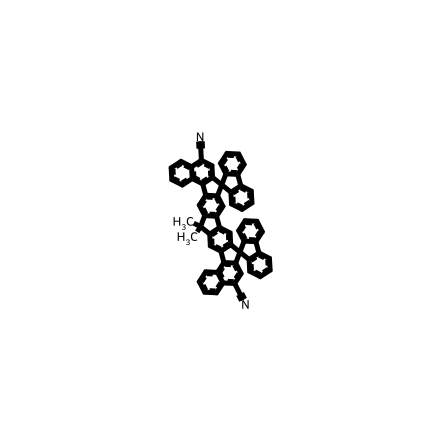 CC1(C)c2cc3c(cc2-c2cc4c(cc21)-c1c(cc(C#N)c2ccccc12)C41c2ccccc2-c2ccccc21)C1(c2ccccc2-c2ccccc21)c1cc(C#N)c2ccccc2c1-3